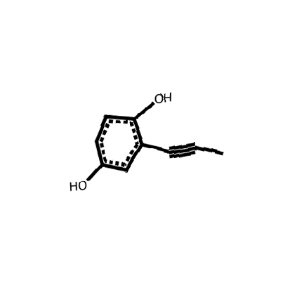 CC#Cc1cc(O)ccc1O